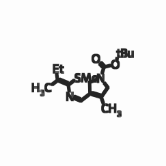 CC/C(C)=C(/N=C\C1=C(C)CN(C(=O)OC(C)(C)C)C1)SC